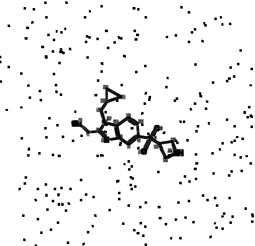 CC(C)(C)Cc1nc2cc(S(=O)(=O)C3CNC3)ccc2n1CC1CC1